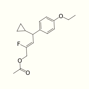 CCOc1ccc(C(C=C(F)COC(C)=O)C2CC2)cc1